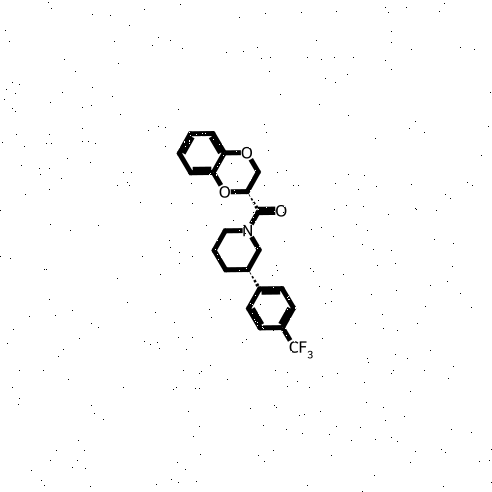 O=C([C@H]1COc2ccccc2O1)N1CCC[C@@H](c2ccc(C(F)(F)F)cc2)C1